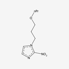 CCCOCCCn1ccnc1[N+](=O)[O-]